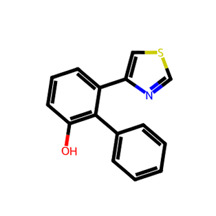 Oc1cccc(-c2cscn2)c1-c1ccccc1